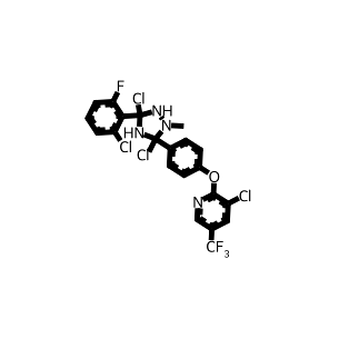 CN1NC(Cl)(c2c(F)cccc2Cl)NC1(Cl)c1ccc(Oc2ncc(C(F)(F)F)cc2Cl)cc1